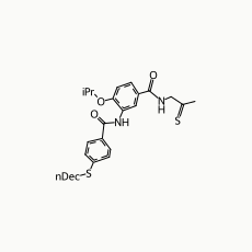 CCCCCCCCCCSc1ccc(C(=O)Nc2cc(C(=O)NCC(C)=S)ccc2OC(C)C)cc1